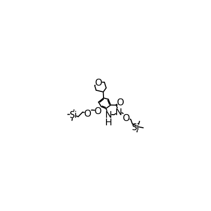 C[Si](C)(C)CCOCOc1cc(C2CCOCC2)cc2c1NCN(COCC[Si](C)(C)C)C2=O